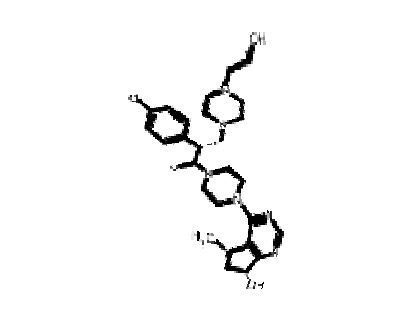 C[C@@H]1C[C@@H](O)c2ncnc(N3CCN(C(=O)[C@@H](CN4CCN(CCO)CC4)c4ccc(Cl)cc4)CC3)c21